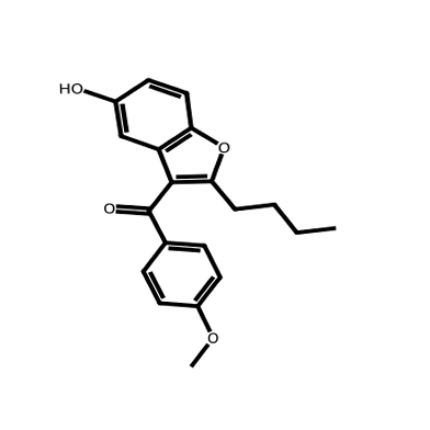 CCCCc1oc2ccc(O)cc2c1C(=O)c1ccc(OC)cc1